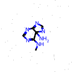 CNC1=NC=NC2=NC=NC21N